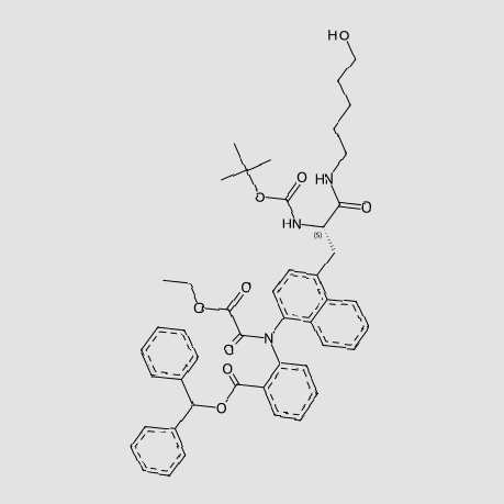 CCOC(=O)C(=O)N(c1ccccc1C(=O)OC(c1ccccc1)c1ccccc1)c1ccc(C[C@H](NC(=O)OC(C)(C)C)C(=O)NCCCCCO)c2ccccc12